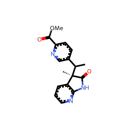 COC(=O)c1ccc(C(C)[C@@]2(C)C(=O)Nc3ncccc32)cn1